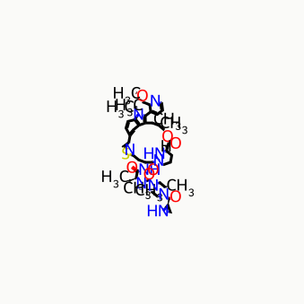 CCn1c(-c2cccnc2[C@H](C)OC)c2c3cc(ccc31)-c1csc(n1)C[C@H](NC(=O)[C@H](C(C)C)N(C)C(=O)N1CCN(C(=O)[C@H]3CN3)[C@@H](C)C1)C(=O)N1CCC[C@H](N1)C(=O)OCC(C)(C)C2